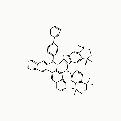 Cc1cc2c(cc1N1c3c4c(cc5ccccc35)-c3cc5ccccc5cc3N(c3ccc(-c5ccccc5)cc3)B4c3oc4cc5c(cc4c31)C(C)(C)CCC5(C)C)C(C)(C)CCC2(C)C